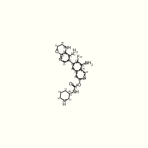 Cc1c(-c2cc3cc(OC(=O)N[C@@H]4CCCNC4)ncc3c(N)c2F)cnc2c1NCCO2